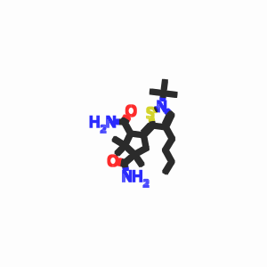 CCCCC1=CN(C(C)(C)C)SC1=C1CC(C)(C(N)=O)C(C)(C)C1C(N)=O